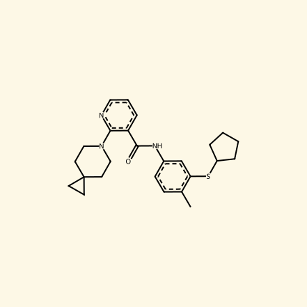 Cc1ccc(NC(=O)c2cccnc2N2CCC3(CC2)CC3)cc1SC1CCCC1